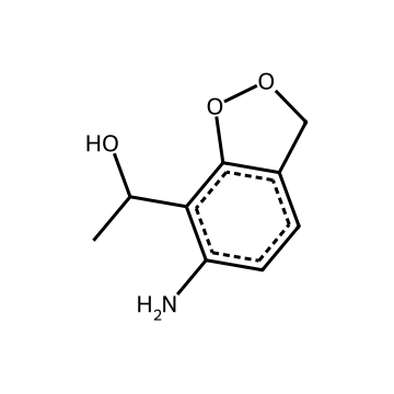 CC(O)c1c(N)ccc2c1OOC2